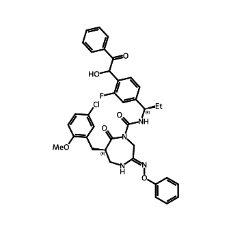 CC[C@@H](NC(=O)N1CC(=NOc2ccccc2)NC[C@@H](Cc2cc(Cl)ccc2OC)C1=O)c1ccc(C(O)C(=O)c2ccccc2)c(F)c1